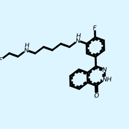 O=c1[nH]nc(-c2ccc(F)c(NCCCCCNCCF)c2)c2ccccc12